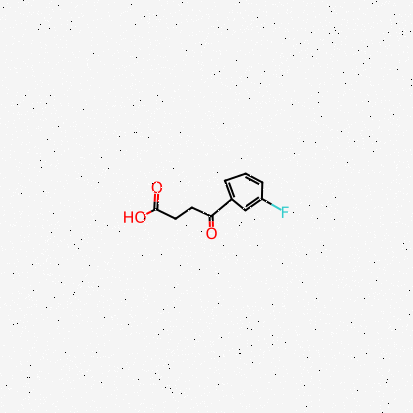 O=C(O)CCC(=O)c1cccc(F)c1